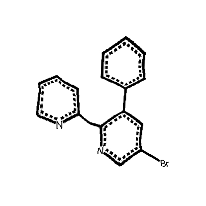 Brc1cnc(-c2ccccn2)c(-c2ccccc2)c1